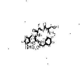 C[C@H](NC(=O)[C@H](N)CS)C(=O)N[C@@H](Cc1c[nH]cn1)C(=O)N[C@H](Cc1ccccc1)C(=O)O